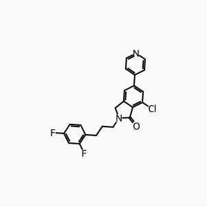 O=C1c2c(Cl)cc(-c3ccncc3)cc2CN1CCCc1ccc(F)cc1F